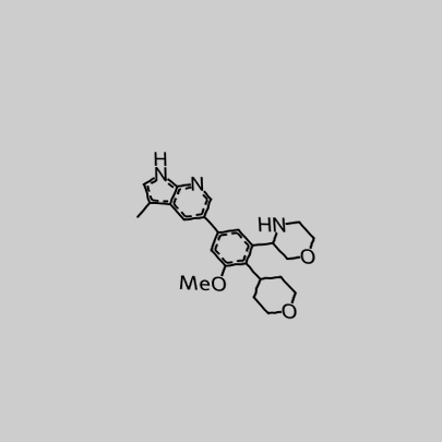 COc1cc(-c2cnc3[nH]cc(C)c3c2)cc(C2COCCN2)c1C1CCOCC1